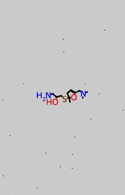 CN(C)CC1=CCC(C)(SCC(O)CN)O1